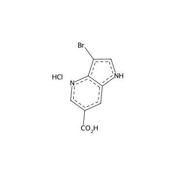 Cl.O=C(O)c1cnc2c(Br)c[nH]c2c1